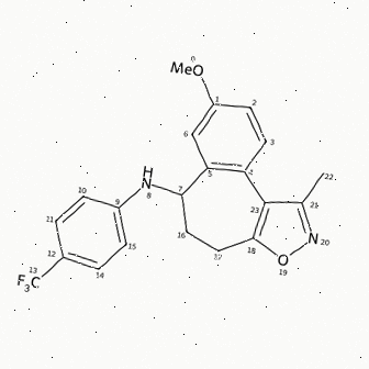 COc1ccc2c(c1)C(Nc1ccc(C(F)(F)F)cc1)CCc1onc(C)c1-2